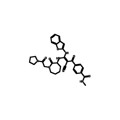 CNC(=O)c1ccc(C(=O)C(C#N)=C(Nc2cc3ccccc3o2)N[C@H]2CCCCN(CC(=O)N3CCCC3)C2=O)cc1